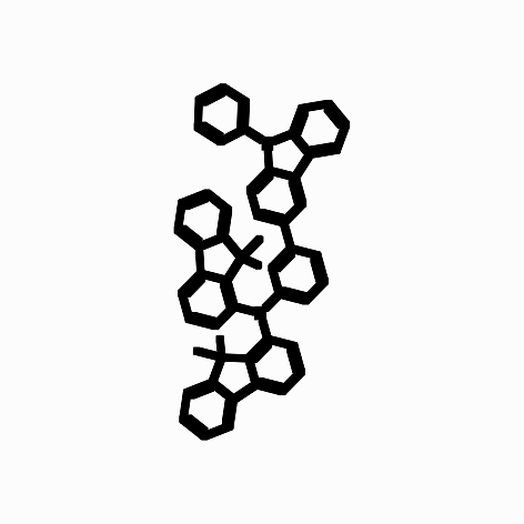 CC1(C)c2ccccc2-c2cccc(N(c3cccc(-c4ccc5c(c4)c4ccccc4n5-c4ccccc4)c3)c3cccc4c3C(C)(C)c3ccccc3-4)c21